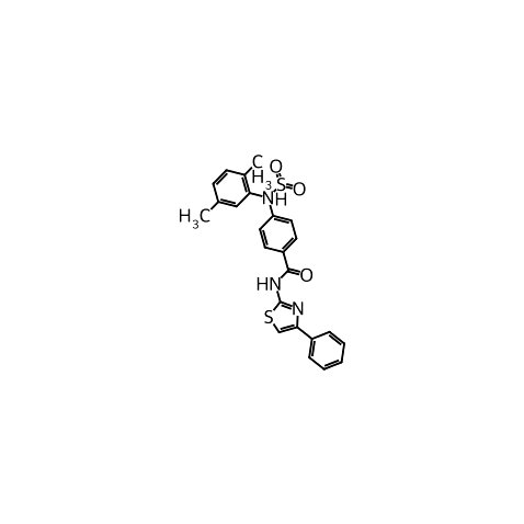 Cc1ccc(C)c(N(c2ccc(C(=O)Nc3nc(-c4ccccc4)cs3)cc2)[SH](=O)=O)c1